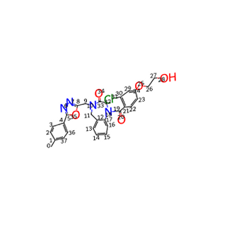 Cc1ccc(-c2nnc(CN3Cc4ccccc4N(C(=O)c4ccc(OCCO)cc4Cl)CC3=O)o2)cc1